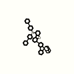 c1ccc(-c2ccc(N(c3ccc(-c4ccccc4)cc3)c3cccc4oc5c(-c6ccc7c(c6)-c6ccccc6C76C7CC8CC(C7)CC6C8)cccc5c34)cc2)cc1